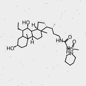 CC[C@@H]1C2C[C@H](O)CCC2(C)[C@H]2CCC3(C)[C@@H]([C@H](C)CCNC(=O)N[SH](C)(=O)N4CCCCC4)CC[C@H]3C2[C@@H]1O